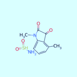 Cc1cccc2c1C(=O)C(=O)N2C.N[SH](=O)=O